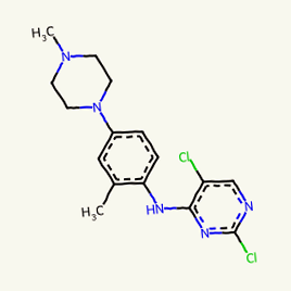 Cc1cc(N2CCN(C)CC2)ccc1Nc1nc(Cl)ncc1Cl